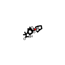 CC(C)(C)OC(=O)N1C2CCC1CN(c1ccc3c(c1)NC(=O)C3(C)C)C2